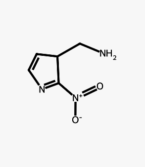 NCC1C=CN=C1[N+](=O)[O-]